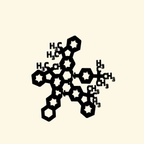 CC(C)(C)c1ccc(N2B3c4cc5c(cc4-n4c6cc7c(cc6c6c8c(c(c3c64)-c3cc4c(cc32)-c2ccccc2C4(C)C)C(C)(C)c2ccccc2-8)CCCC7)-c2ccccc2C5(C)C)cc1